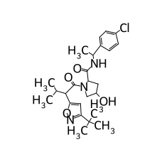 CC(NC(=O)C1CC(O)CN1C(=O)C(c1cc(C(C)(C)C)no1)C(C)C)c1ccc(Cl)cc1